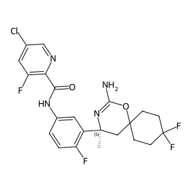 C[C@@]1(c2cc(NC(=O)c3ncc(Cl)cc3F)ccc2F)CC2(CCC(F)(F)CC2)OC(N)=N1